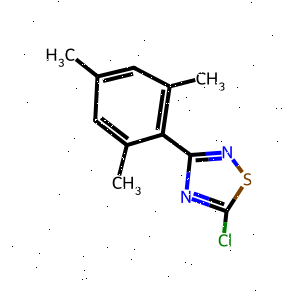 Cc1cc(C)c(-c2nsc(Cl)n2)c(C)c1